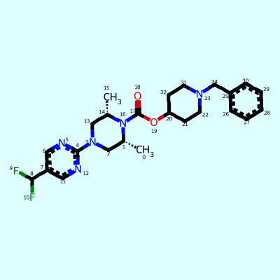 C[C@@H]1CN(c2ncc(C(F)F)cn2)C[C@H](C)N1C(=O)OC1CCN(Cc2ccccc2)CC1